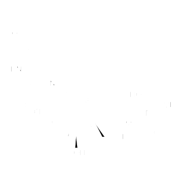 C[C@@]1(Cl)[C@H](O)[C@@](CF)(COP(=O)(O)O)O[C@H]1n1ccc(=O)[nH]c1=O